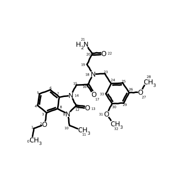 CCOc1cccc2c1n(CC)c(=O)n2CC(=O)N(CC(N)=O)Cc1cc(OC)cc(OC)c1